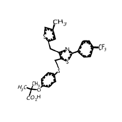 Cc1csc(Cc2nc(-c3ccc(C(F)(F)F)cc3)sc2CSc2ccc(OC(C)(C)C(=O)O)cc2)c1